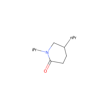 CCCC1CCC(=O)N(C(C)C)C1